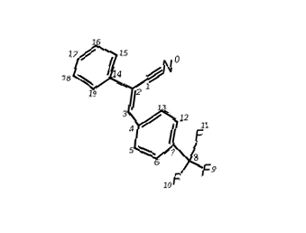 N#CC(=Cc1ccc(C(F)(F)F)cc1)c1ccccc1